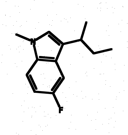 CCC(C)c1cn(C)c2ccc(F)cc12